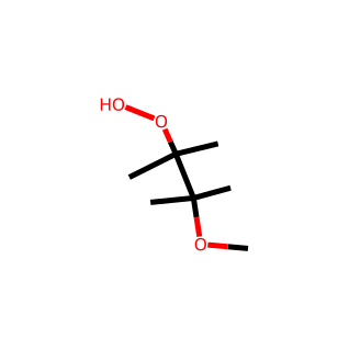 COC(C)(C)C(C)(C)OO